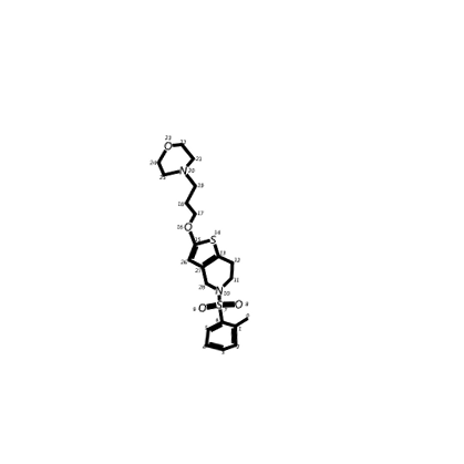 Cc1ccccc1S(=O)(=O)N1CCc2sc(OCCCN3CCOCC3)cc2C1